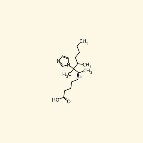 CCCCC(C)C(C)(/C(C)=C\CCCC(=O)O)n1ccnc1